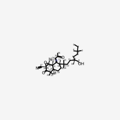 CCC(C)(C)CC[C@](C)(CO)CCC(C)(C)[C@]1(C)CC[C@H]2C(C)(C)C(=O)[C@]3(C#N)O[C@@H]3[C@]2(C)/C1=C/C(C)=O